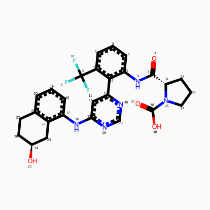 O=C(Nc1cccc(C(F)(F)F)c1-c1cc(Nc2cccc3c2C[C@@H](O)CC3)ncn1)[C@@H]1CCCN1C(=O)O